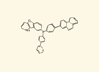 C1=Cc2oc3ccc(N(c4ccc(-c5ccccc5)cc4)c4ccc(-c5ccc6c(ccc7ccccc76)c5)cc4)cc3c2NC1